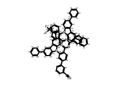 N#Cc1cccc(-c2ccc(-c3nc(-c4ccccc4)nc(-c4ccc(C(F)(F)F)cc4-n4c5ccc(-c6ccccc6)cc5c5cc(-c6ccccc6)ccc54)n3)c(-n3c4ccc(-c5ccccc5)cc4c4cc(-c5ccccc5)ccc43)c2)c1